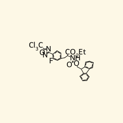 CCOC(=O)C(Cc1ccc(-c2noc(C(Cl)(Cl)Cl)n2)c(F)c1)NC(=O)OCC1c2ccccc2-c2ccccc21